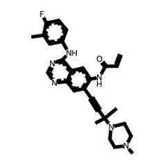 C=CC(=O)Nc1cc2c(Nc3ccc(F)c(C)c3)ncnc2cc1C#CC(C)(C)N1CCN(C)CC1